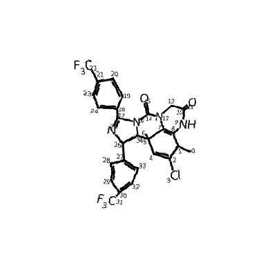 CC1C(Cl)=CC2(C)C3=C1NC(=O)CN3C(=O)N1C(c3ccc(C(F)(F)F)cc3)=NC(c3ccc(C(F)(F)F)cc3)C12